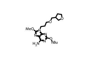 CCCCOc1nc(N)c2nc(OC)n(CCCOCC3CCOC3)c2n1